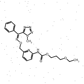 CCOCCCOC(=O)Nc1cccc(CO/N=C(/c2ccccc2)c2nnnn2C)n1